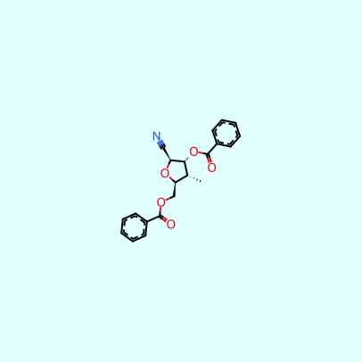 C[C@H]1[C@@H](OC(=O)c2ccccc2)[C@H](C#N)O[C@@H]1COC(=O)c1ccccc1